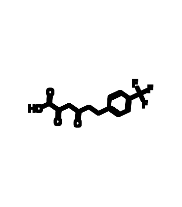 O=C(CCc1ccc(C(F)(F)F)cc1)CC(=O)C(=O)O